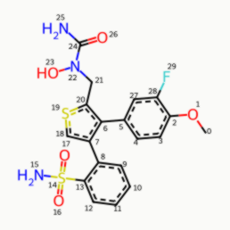 COc1ccc(-c2c(-c3ccccc3S(N)(=O)=O)csc2CN(O)C(N)=O)cc1F